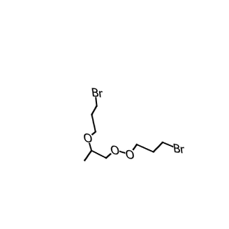 CC(COOCCCBr)OCCCBr